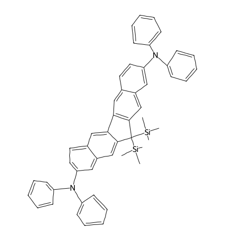 C[Si](C)(C)C1([Si](C)(C)C)c2cc3cc(N(c4ccccc4)c4ccccc4)ccc3cc2-c2cc3ccc(N(c4ccccc4)c4ccccc4)cc3cc21